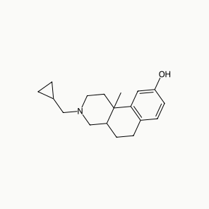 CC12CCN(CC3CC3)CC1CCc1ccc(O)cc12